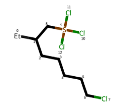 CCC(CCCCCCl)CS(Cl)(Cl)Cl